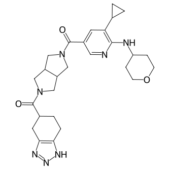 O=C(c1cnc(NC2CCOCC2)c(C2CC2)c1)N1CC2CN(C(=O)C3CCc4[nH]nnc4C3)CC2C1